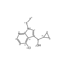 OC(c1cn(SF)c2nccc(Cl)c12)C1CC1